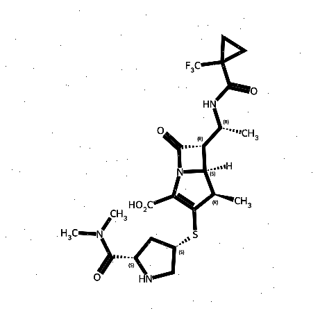 C[C@@H](NC(=O)C1(C(F)(F)F)CC1)[C@H]1C(=O)N2C(C(=O)O)=C(S[C@@H]3CN[C@H](C(=O)N(C)C)C3)[C@H](C)[C@H]12